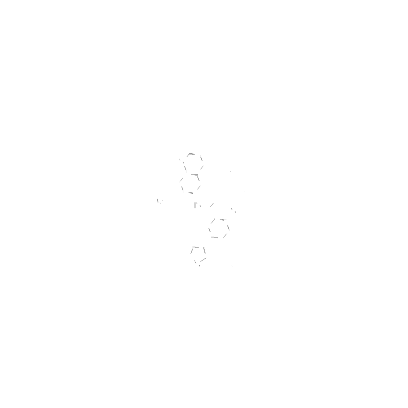 COc1cc2nc(O)cc(C)c2cc1NC(=O)c1cc(-c2c(C)noc2C)ccc1N1CCOCC1